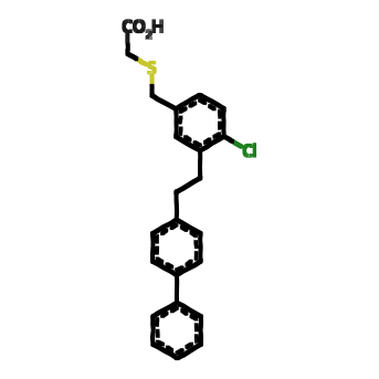 O=C(O)CSCc1ccc(Cl)c(CCc2ccc(-c3ccccc3)cc2)c1